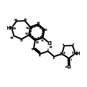 O=C1NCCN1CC/C=C\c1c(Cl)ccc2c1CCNCC2